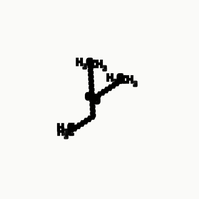 CC(C)CCCCCCCCCCCCCCC(=O)C(CCCCCCC/C=C\CCCCCCC[CH2][Zr][CH2]C(C)C)C(=O)CCCCCCCCCCCCCCC(C)C